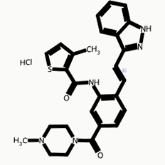 Cc1ccsc1C(=O)Nc1cc(C(=O)N2CCN(C)CC2)ccc1/C=C/c1n[nH]c2ccccc12.Cl